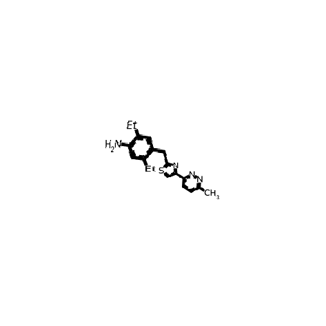 CCc1cc(Cc2nc(-c3ccc(C)nn3)cs2)c(CC)cc1N